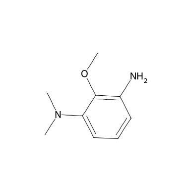 COc1c(N)cccc1N(C)C